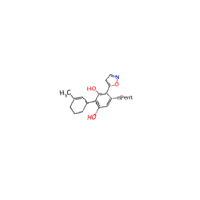 CCCCCc1cc(O)c(C2C=C(C)CCC2)c(O)c1-c1ccno1